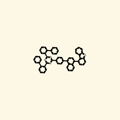 c1ccc(-c2ccccc2-c2nc(-c3ccc(-c4ccc(-c5cccc6oc7ccccc7c56)c5ccccc45)cc3)nc(-c3ccccc3-c3ccccc3)n2)cc1